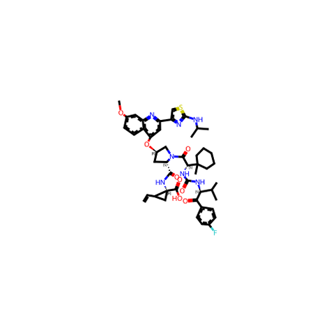 C=CC1C[C@]1(NC(=O)[C@@H]1C[C@@H](Oc2cc(-c3csc(NC(C)C)n3)nc3cc(OC)ccc23)CN1C(=O)[C@@H](NC(=O)N[C@H](C(=O)c1ccc(F)cc1)C(C)C)C1(C)CCCCC1)C(=O)O